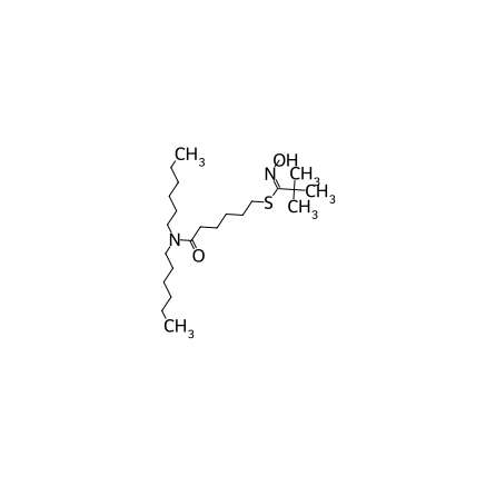 CCCCCCN(CCCCCC)C(=O)CCCCCSC(=NO)C(C)(C)C